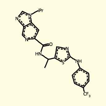 CC(NC(=O)c1cc2c(cn1)ncn2C(C)C)c1cnc(Nc2ccc(C(F)(F)F)cc2)s1